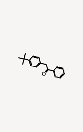 CC(C)(C)c1ccc(CC(=O)c2ccccc2)cc1